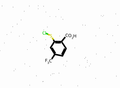 O=C(O)c1ccc(C(F)(F)F)cc1SCl